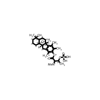 CNC(C(=O)Oc1c(C)c(C)c2c(c1C)C[C@H]1C2(C)CCC2C(C)(C)CCC[C@@]21C)C(C)OP(=O)(O)O